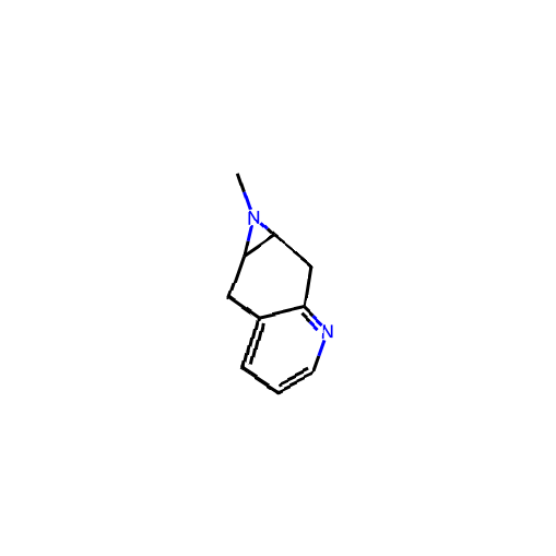 CN1C2Cc3cccnc3CC21